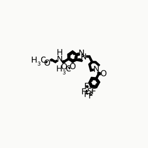 COCCNC(=O)c1ccc2nn(CC3CCN(C(=O)c4ccc(S(F)(F)(F)(F)F)cc4)CC3)cc2c1OC